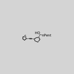 CCCCCC(O)c1cccc(C#Cc2cccs2)c1